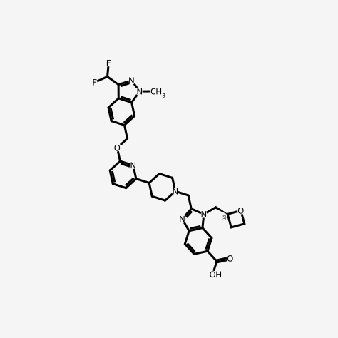 Cn1nc(C(F)F)c2ccc(COc3cccc(C4CCN(Cc5nc6ccc(C(=O)O)cc6n5C[C@@H]5CCO5)CC4)n3)cc21